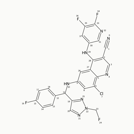 N#Cc1cnc2c(Cl)cc(NC(c3ccc(F)cc3)c3cnn(CF)n3)cc2c1Nc1cnc(F)c(F)c1